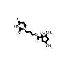 CC1CC(C)C(C)(C(=O)OCCCn2ccc(=S)[nH]c2=S)C1